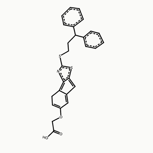 O=C(O)COC1=CCC2=c3nc(SCCC(c4ccccc4)c4ccccc4)sc3=CC2=C1